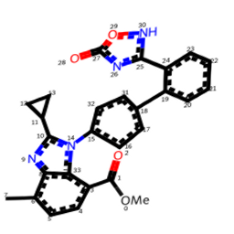 COC(=O)c1ccc(C)c2nc(C3CC3)n(-c3ccc(-c4ccccc4-c4nc(=O)o[nH]4)cc3)c12